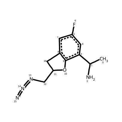 CC(N)c1cc(F)cc2c1OC(CN=[N+]=[N-])C2